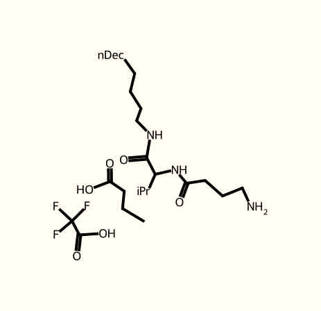 CCCC(=O)O.CCCCCCCCCCCCCCNC(=O)C(NC(=O)CCCN)C(C)C.O=C(O)C(F)(F)F